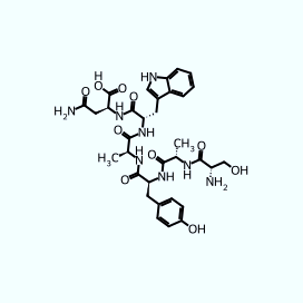 C[C@H](NC(=O)[C@H](Cc1ccc(O)cc1)NC(=O)[C@H](C)NC(=O)[C@@H](N)CO)C(=O)N[C@@H](Cc1c[nH]c2ccccc12)C(=O)N[C@@H](CC(N)=O)C(=O)O